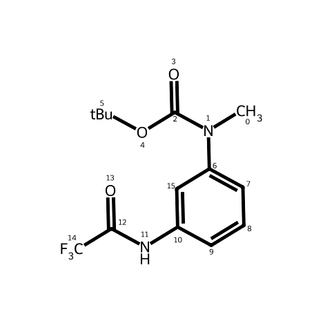 CN(C(=O)OC(C)(C)C)c1cccc(NC(=O)C(F)(F)F)c1